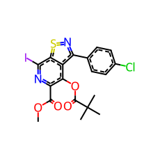 COC(=O)c1nc(I)c2snc(-c3ccc(Cl)cc3)c2c1OC(=O)C(C)(C)C